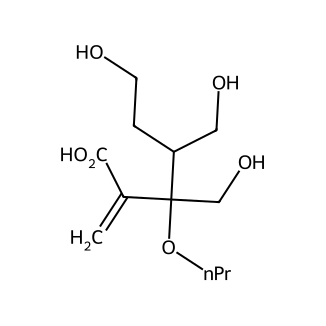 C=C(C(=O)O)C(CO)(OCCC)C(CO)CCO